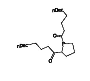 CCCCCCCCCCCCCC(=O)C1CCCP1C(=O)CCCCCCCCCCCCC